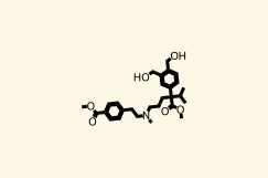 COC(=O)c1ccc(CCN(C)CCCC(C(=O)OC)(c2ccc(CO)c(CO)c2)C(C)C)cc1